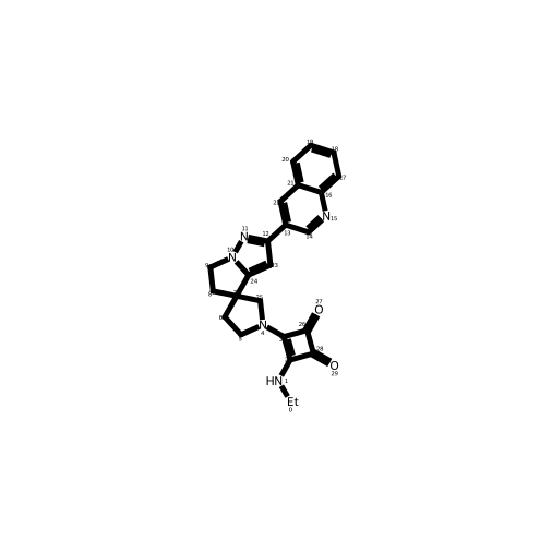 CCNc1c(N2CCC3(CCn4nc(-c5cnc6ccccc6c5)cc43)C2)c(=O)c1=O